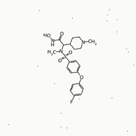 CN1CCC(C(C(=O)NO)N(C)S(=O)(=O)c2ccc(Oc3ccc(F)cc3)cc2)CC1